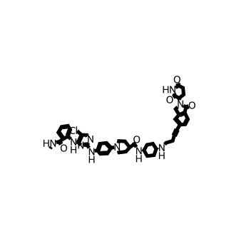 CNC(=O)c1ccccc1Nc1nc(Nc2ccc(N3CCC(C(=O)N[C@H]4CC[C@@H](NCCC#Cc5ccc6c(c5)CN(C5CCC(=O)NC5=O)C6=O)CC4)CC3)cc2)ncc1Cl